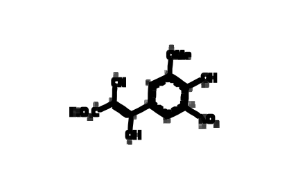 CCOC(=O)/C(C#N)=C(\O)c1cc(OC)c(O)c([N+](=O)[O-])c1